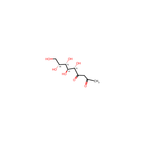 CC(=O)CC(=O)[C@@H](O)[C@@H](O)[C@@H](O)[C@H](O)CO